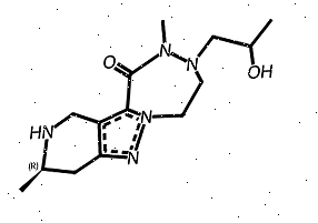 CC(O)CN1CCn2nc3c(c2C(=O)N1C)CN[C@H](C)C3